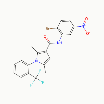 Cc1cc(C(=O)Nc2cc([N+](=O)[O-])ccc2Br)c(C)n1-c1ccccc1C(F)(F)F